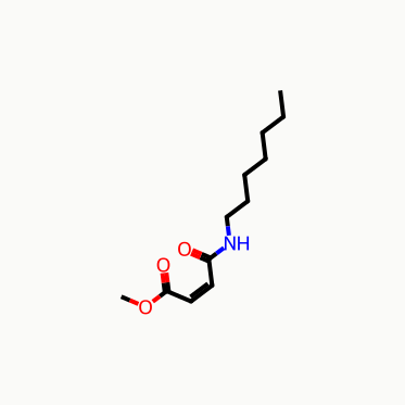 CCCCCCCNC(=O)/C=C\C(=O)OC